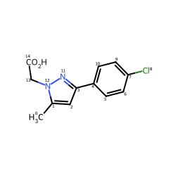 Cc1cc(-c2ccc(Cl)cc2)nn1CC(=O)O